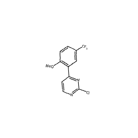 COc1ccc(C(F)(F)F)cc1-c1ccnc(Cl)n1